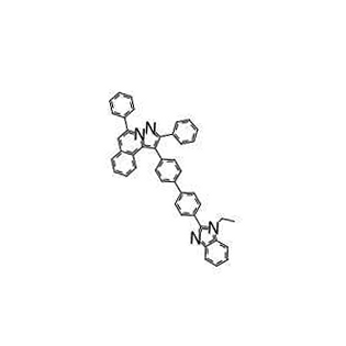 CCn1c(-c2ccc(-c3ccc(-c4c(-c5ccccc5)nn5c(-c6ccccc6)cc6ccccc6c45)cc3)cc2)nc2ccccc21